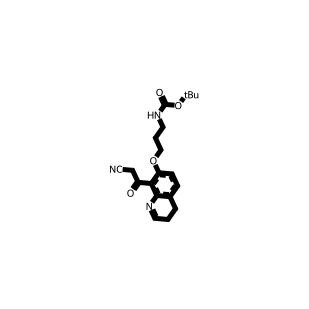 CC(C)(C)OC(=O)NCCCOc1ccc2c(c1C(=O)CC#N)N=CCC2